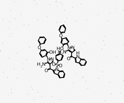 Cc1ccc(S(=O)(=O)n2c(C(=O)c3cnn(-c4ccc(Oc5ccccc5)cc4O)c3N)cc3ccccc32)cc1.Nc1c(C(=O)c2cc3ccccc3[nH]2)cnn1-c1ccc(Oc2ccccc2)cc1O